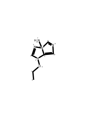 CCON1C=N[N+]2(N)C=NC=C12